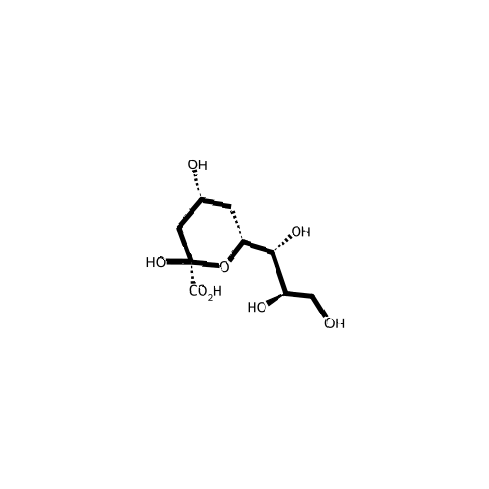 O=C(O)[C@]1(O)C[C@H](O)C[C@H]([C@H](O)[C@H](O)CO)O1